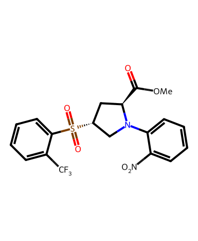 COC(=O)[C@@H]1C[C@@H](S(=O)(=O)c2ccccc2C(F)(F)F)CN1c1ccccc1[N+](=O)[O-]